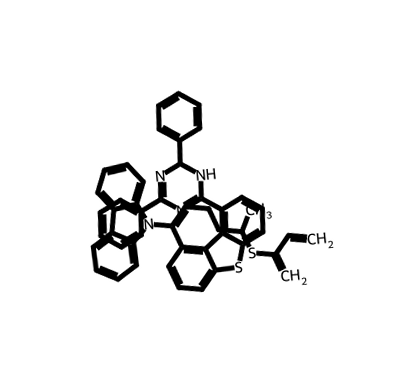 C=CC(=C)SC(C)CCC=C(c1cccc2sc3cccc(C4=NC(c5ccccc5)=NC(c5ccccc5)N4)c3c12)n1c2ccccc2c2ccccc21